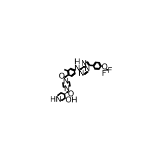 Cc1cc(Nc2nccn3c(-c4ccc(OC(F)F)cc4)cnc23)ccc1C(=O)N1CCN(C(=O)[C@@H]2CCNC[C@H]2O)CC1